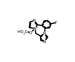 O=C(O)O[N+]12C=CN=C1c1ccc(F)cc1-n1cncc1C2